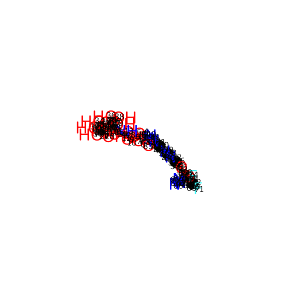 CC[C@@H]([C@H](C)OC(=O)OC(C)OC(=O)CNC(=O)[C@H](O)[C@@H](O)[C@H](O[C@@H]1O[C@H](CO)[C@H](O)[C@H](O)[C@H]1O)[C@H](O)CO)n1ncn(-c2ccc(N3CCN(c4ccc(OC[C@@H]5CO[C@@](Cn6cncn6)(c6ccc(F)cc6F)C5)cc4)CC3)cc2)c1=O